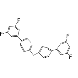 C=C(/C=C\C(=C/C)c1cc(F)cc(F)c1)Cc1ccc(-c2cc(F)cc(F)c2)cc1